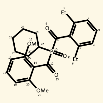 CCc1cccc(CC)c1C(=O)P(=O)(C(=O)c1c(OC)cccc1OC)C1CCCCC1